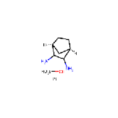 NC1C(N)[C@H]2CC[C@@H]1C2.O=S(=O)(O)O.[Pt]